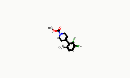 CC(C)(C)OC(=O)N1CC=C(c2c([N+](=O)[O-])ccc(F)c2F)CC1